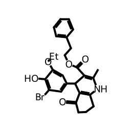 CCOc1cc(C2C(C(=O)OCCc3ccccc3)=C(C)NC3=C2C(=O)CCC3)cc(Br)c1O